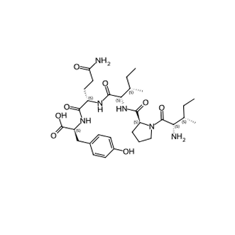 CC[C@H](C)[C@H](N)C(=O)N1CCC[C@H]1C(=O)N[C@H](C(=O)N[C@@H](CCC(N)=O)C(=O)N[C@@H](Cc1ccc(O)cc1)C(=O)O)[C@@H](C)CC